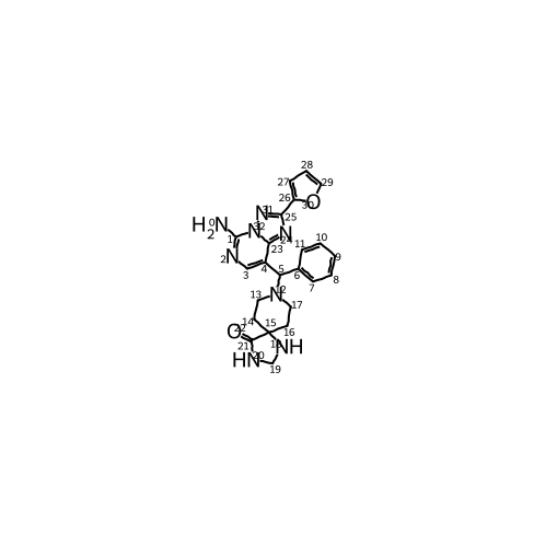 Nc1ncc(C(c2ccccc2)N2CCC3(CC2)NCNC3=O)c2nc(-c3ccco3)nn12